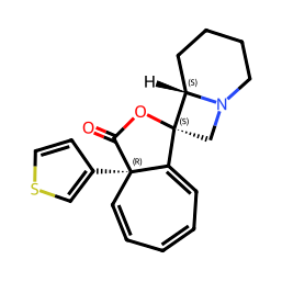 O=C1O[C@]2(CN3CCCC[C@H]32)C2=CC=CC=C[C@@]12c1ccsc1